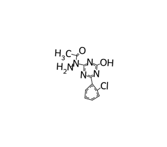 CC(=O)N(N)c1nc(O)nc(-c2ccccc2Cl)n1